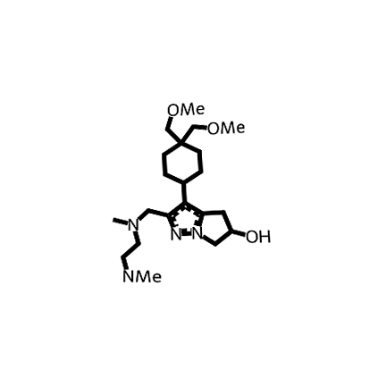 CNCCN(C)Cc1nn2c(c1C1CCC(COC)(COC)CC1)CC(O)C2